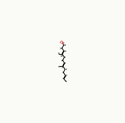 C/C=C/CC/C(C)=C/CC/C(C)=C/CC[O]